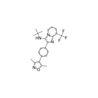 Cc1noc(C)c1-c1ccc(-c2nc3c(C(F)(F)F)cccn3c2NC(C)(C)C)cc1